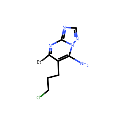 CCc1nc2ncnn2c(N)c1CCCCl